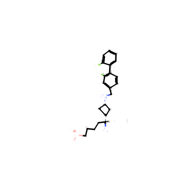 NC(CCCCB(O)O)(C(=O)O)[C@H]1C[C@@H](NCc2ccc(-c3ccccc3F)c(F)c2)C1